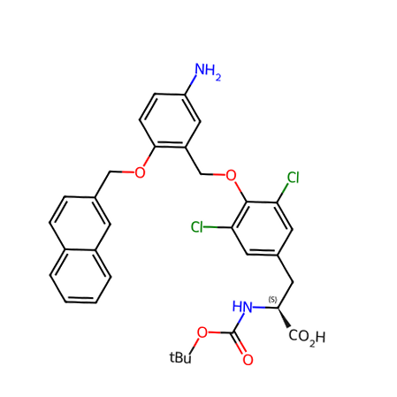 CC(C)(C)OC(=O)N[C@@H](Cc1cc(Cl)c(OCc2cc(N)ccc2OCc2ccc3ccccc3c2)c(Cl)c1)C(=O)O